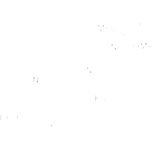 COP(=O)(OC)N1CCN(c2cc3c(cc2F)c(=O)c(C(=O)O)cn3C2CC2)CC1